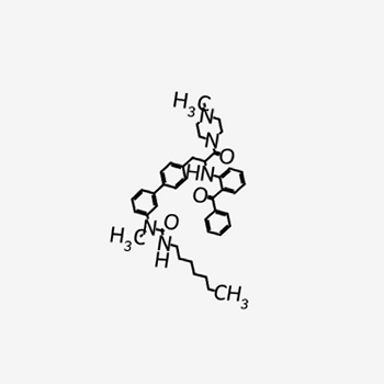 CCCCCCCNC(=O)N(C)c1cccc(-c2ccc(CC(Nc3ccccc3C(=O)c3ccccc3)C(=O)N3CCN(C)CC3)cc2)c1